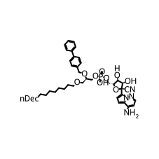 CCCCCCCCCCCCCCCCCCOC[C@H](COP(=O)(O)OC[C@H]1O[C@@](C#N)(c2ccc3c(N)ccnn23)[C@H](O)[C@@H]1O)OCc1ccc(-c2ccccc2)cc1